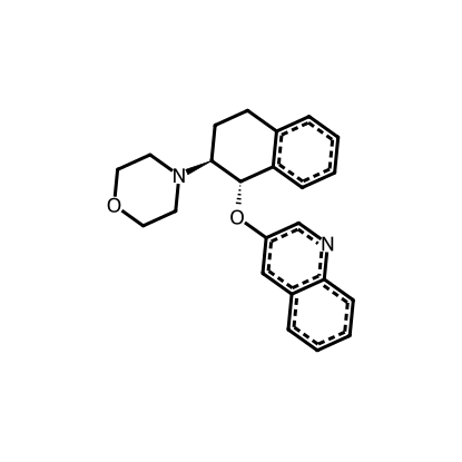 c1ccc2c(c1)CC[C@H](N1CCOCC1)[C@H]2Oc1cnc2ccccc2c1